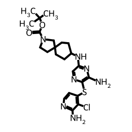 CC(C)(C)OC(=O)N1CCC2(CCC(Nc3cnc(Sc4ccnc(N)c4Cl)c(N)n3)CC2)C1